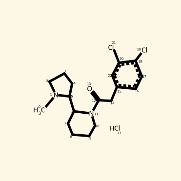 CN1CCCC1C1CCCCN1C(=O)Cc1ccc(Cl)c(Cl)c1.Cl